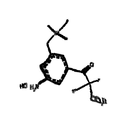 CCOC(=O)C(F)(F)C(=O)c1cc(N)cc(C[Si](C)(C)C)c1.Cl